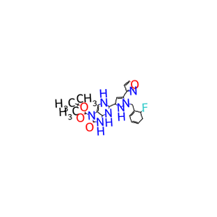 CC(C)(C)OC(=O)N1C(=O)NC2NC(C3C=C(c4ccon4)N(CC4=CC=CCC4F)N3)NC=C21